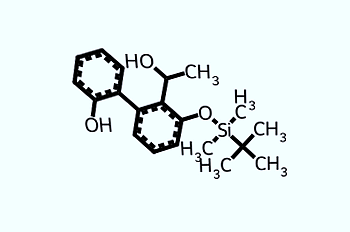 CC(O)c1c(O[Si](C)(C)C(C)(C)C)cccc1-c1ccccc1O